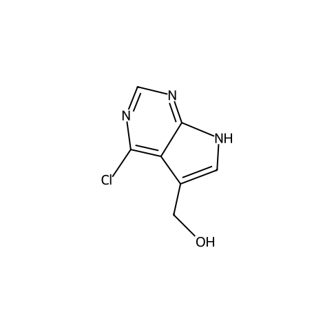 OCc1c[nH]c2ncnc(Cl)c12